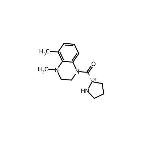 Cc1cccc2c1N(C)CCN2C(=O)[C@@H]1CCCN1